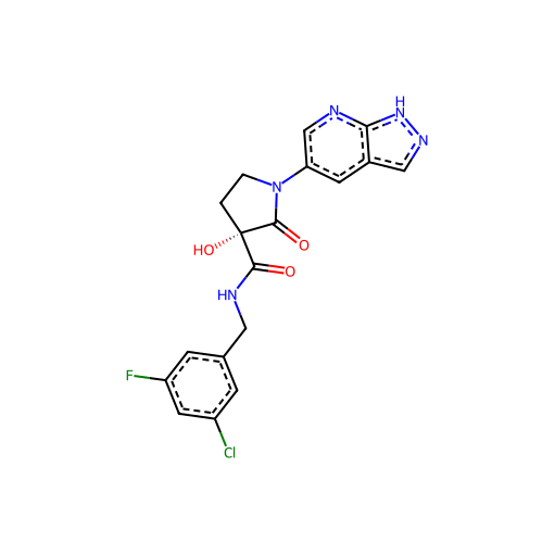 O=C(NCc1cc(F)cc(Cl)c1)[C@@]1(O)CCN(c2cnc3[nH]ncc3c2)C1=O